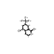 O=c1o[c]cc2c(Cl)cc(C(F)(F)F)cc12